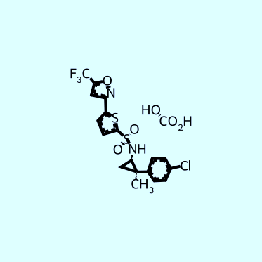 C[C@]1(c2ccc(Cl)cc2)C[C@@H]1NS(=O)(=O)c1ccc(-c2cc(C(F)(F)F)on2)s1.O=C(O)O